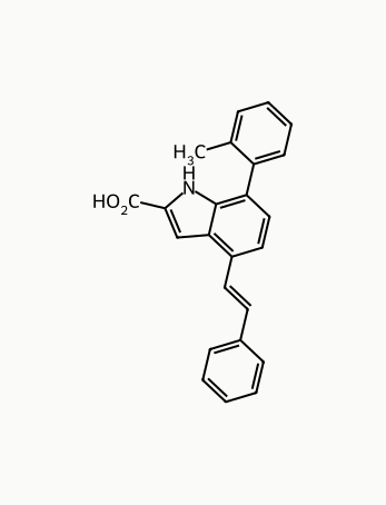 Cc1ccccc1-c1ccc(/C=C/c2ccccc2)c2cc(C(=O)O)[nH]c12